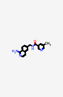 Cc1cncc(C(=O)NCc2ccc3c(N)nccc3c2)c1